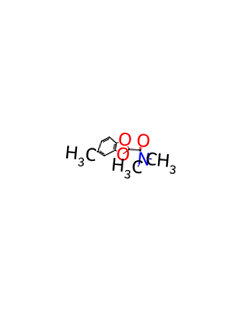 Cc1ccc2c(c1)OC(C(=O)N(C)C)O2